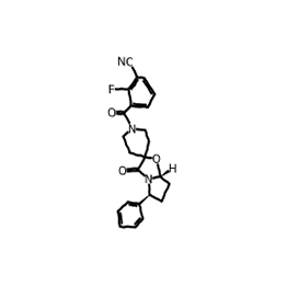 N#Cc1cccc(C(=O)N2CCC3(CC2)O[C@@H]2CC[C@@H](c4ccccc4)N2C3=O)c1F